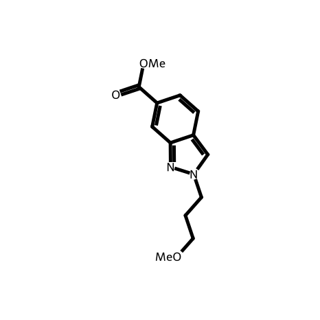 COCCCn1cc2ccc(C(=O)OC)cc2n1